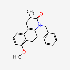 COc1cccc2c1CCC1=C2CC(C)C(=O)N1Cc1ccccc1